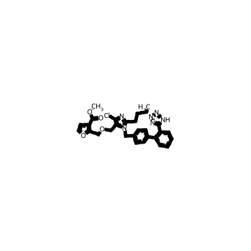 CCCCc1nc(Cl)c(COCc2occc2C(=O)OC)n1Cc1ccc(-c2ccccc2-c2nnn[nH]2)cc1